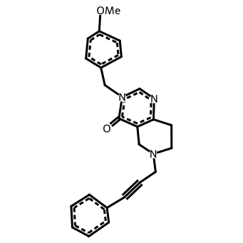 COc1ccc(Cn2cnc3c(c2=O)CN(CC#Cc2ccccc2)CC3)cc1